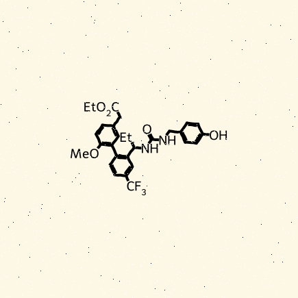 CCOC(=O)Cc1ccc(OC)c(-c2ccc(C(F)(F)F)cc2C(CC)NC(=O)NCc2ccc(O)cc2)c1